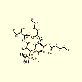 CCCCC(=O)Oc1ccc(C(C(C)COC(=O)C(C)CC)[C@H](N)C(=O)O)cc1OC(=O)CCCC